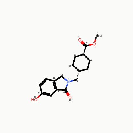 CCC(C)OC(=O)[C@H]1CC[C@H](CN2Cc3ccc(O)cc3C2=O)CC1